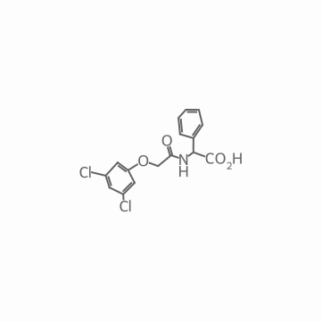 O=C(COc1cc(Cl)cc(Cl)c1)NC(C(=O)O)c1ccccc1